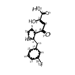 O=C(O)/C(O)=C/C(=O)c1cc[nH]c1Cc1cccc(F)c1